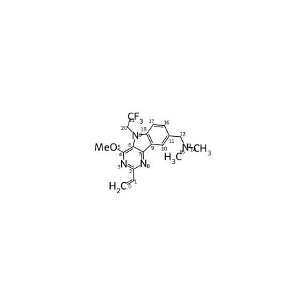 C=Cc1nc(OC)c2c(n1)c1cc(CN(C)C)ccc1n2CC(F)(F)F